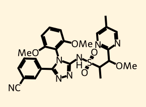 COc1cccc(OC)c1-n1c(NS(=O)(=O)C(C)C(OC)c2ncc(C)cn2)nnc1-c1cccc(C#N)c1